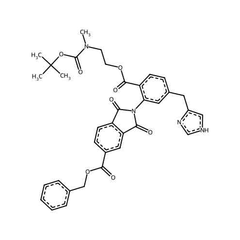 CN(CCOC(=O)c1ccc(Cc2c[nH]cn2)cc1N1C(=O)c2ccc(C(=O)OCc3ccccc3)cc2C1=O)C(=O)OC(C)(C)C